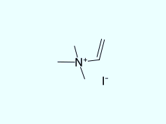 C=C[N+](C)(C)C.[I-]